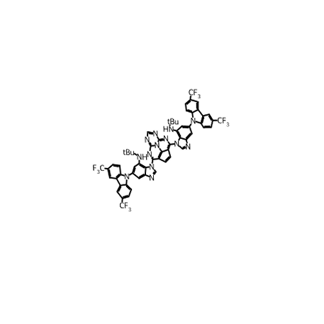 CC(C)(C)Nc1cc(-n2c3ccc(C(F)(F)F)cc3c3cc(C(F)(F)F)ccc32)cc2ncn(-c3nc4ncnc5nc(-n6cnc7cc(-n8c9ccc(C(F)(F)F)cc9c9cc(C(F)(F)F)ccc98)cc(NC(C)(C)C)c76)c6ccc3c6n45)c12